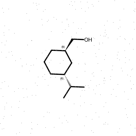 CC(C)[C@@H]1CCC[C@@H](CO)C1